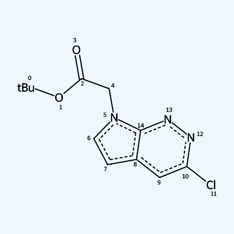 CC(C)(C)OC(=O)Cn1ccc2cc(Cl)nnc21